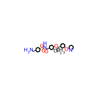 CC(Oc1ccc(C(=O)NS(=O)(=O)c2ccc(CN)cc2)cc1C(F)(F)F)c1cccc(Oc2ccccn2)c1